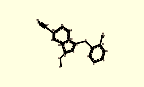 CCn1cc(Cc2ccccc2Br)c2ccc(C#N)cc21